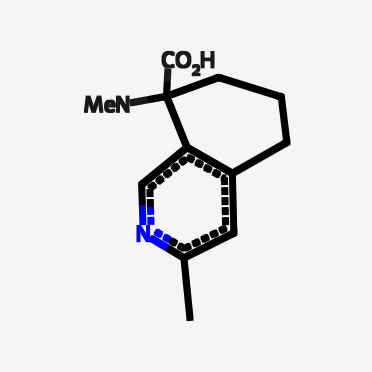 CNC1(C(=O)O)CCCc2cc(C)ncc21